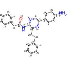 Nc1ccc(-c2cnc(NC(=O)Cc3ccccc3)c(CCc3ccccc3)n2)cc1